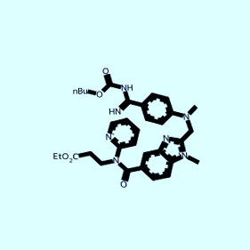 CCCCOC(=O)NC(=N)c1ccc(N(C)Cc2nc3cc(C(=O)N(CCC(=O)OCC)c4ccccn4)ccc3n2C)cc1